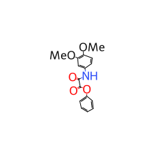 COc1ccc(NC(=O)C(=O)Oc2ccccc2)cc1OC